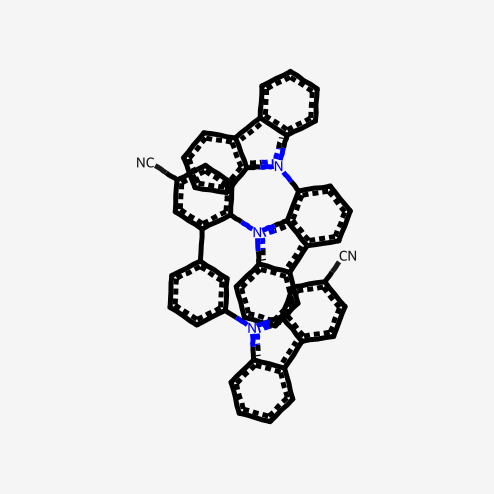 N#Cc1ccc(-n2c3ccccc3c3cccc(-n4c5ccccc5c5ccccc54)c32)c(-c2cccc(-n3c4ccccc4c4ccc(C#N)cc43)c2)c1